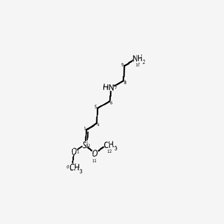 CO[Si](=CCCCNCCN)OC